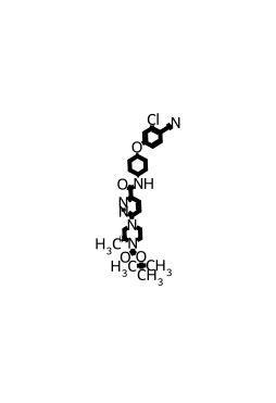 C[C@H]1CN(c2ccc(C(=O)N[C@H]3CC[C@H](Oc4ccc(C#N)c(Cl)c4)CC3)nn2)CCN1C(=O)OC(C)(C)C